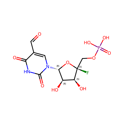 O=Cc1cn([C@@H]2O[C@](F)(COP(=O)(O)O)[C@@H](O)[C@H]2O)c(=O)[nH]c1=O